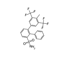 Cc1c(C(F)(F)F)cc(-c2cccc(S(N)(=O)=O)c2-c2ccccc2)cc1C(F)(F)F